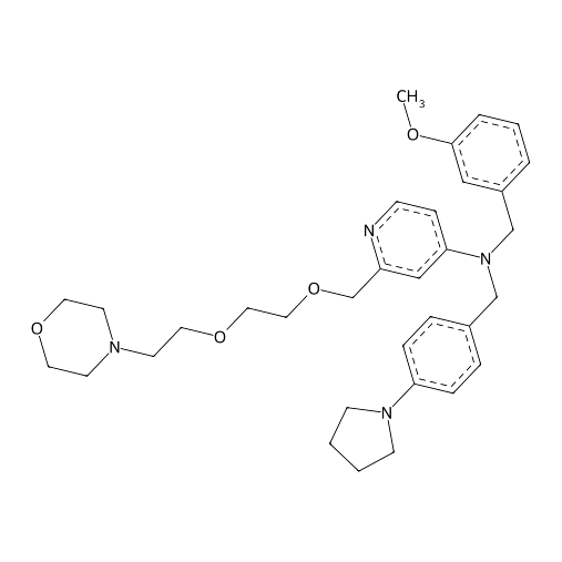 COc1cccc(CN(Cc2ccc(N3CCCC3)cc2)c2ccnc(COCCOCCN3CCOCC3)c2)c1